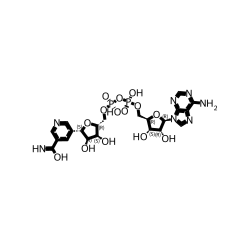 N=C(O)c1cncc([C@@H]2O[C@H](COP(=O)(O)OP(=O)(O)OC[C@H]3O[C@@H](n4cnc5c(N)ncnc54)[C@H](O)[C@@H]3O)[C@@H](O)[C@H]2O)c1